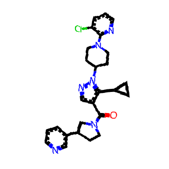 O=C(c1cnn(C2CCN(c3ncccc3Cl)CC2)c1C1CC1)N1CCC(c2cccnc2)C1